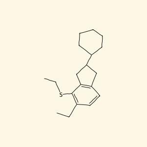 CCSc1c(CC)ccc2c1CC(C1CCCCC1)C2